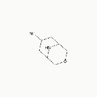 N#CC1CC2COCC(C1)N2